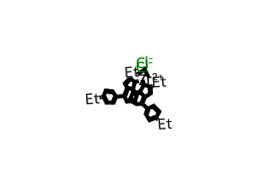 CCC1=Cc2c(-c3ccc(CC)cc3)cccc2[CH]1[Zr+2]1([CH]2C(CC)=Cc3c(-c4ccc(CC)cc4)cccc32)[CH2]C[CH2]1.[Cl-].[Cl-]